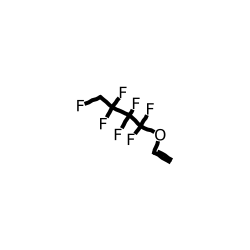 C=COC(F)(F)C(F)(F)C(F)(F)CF